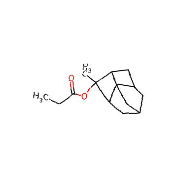 CCC(=O)OC1(C)C2CC3CC(C2)CC1C3